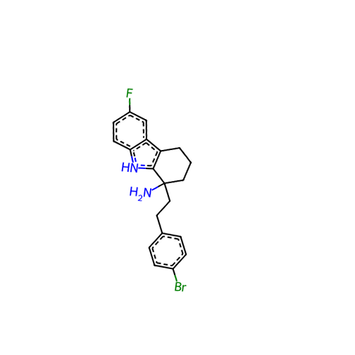 NC1(CCc2ccc(Br)cc2)CCCc2c1[nH]c1ccc(F)cc21